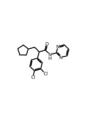 O=C(Nc1ncccn1)C(CC1CCCC1)c1ccc(Cl)c(Cl)c1